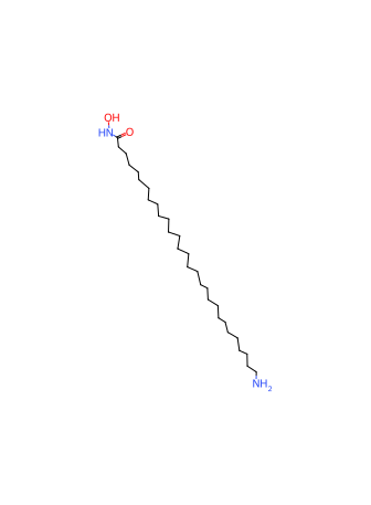 NCCCCCCCCCCCCCCCCCCCCCCCCCCCCC(=O)NO